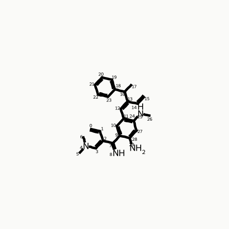 C=C/C(=C\N(C)C)C(=N)c1cc(/C=C(\C=C)C(C)c2ccccc2)c(NC)cc1N